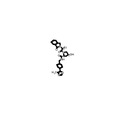 CC[C@@H](C(=O)N1C[C@H](O)C[C@H]1C(=O)NCc1ccc(-c2scnc2C)cc1)N1Cc2ccccc2C1=O